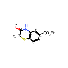 CCOC(=O)c1ccc2c(c1)NC(=O)[C@@H](C)S2